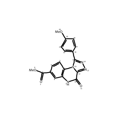 COC(=O)c1ccc2c(c1)[nH]c(=O)c1nnc(-c3ccc(OC)cc3)n12